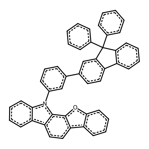 c1ccc(C2(c3ccccc3)c3ccccc3-c3ccc(-c4cccc(-n5c6ccccc6c6ccc7c8ccccc8oc7c65)c4)cc32)cc1